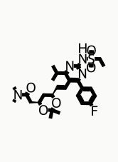 CCS(=O)(=O)Nc1nc(-c2ccc(F)cc2)c(/C=C/[C@@H]2C[C@H](CC(=O)N(C)C)OC(C)(C)O2)c(C(C)C)n1